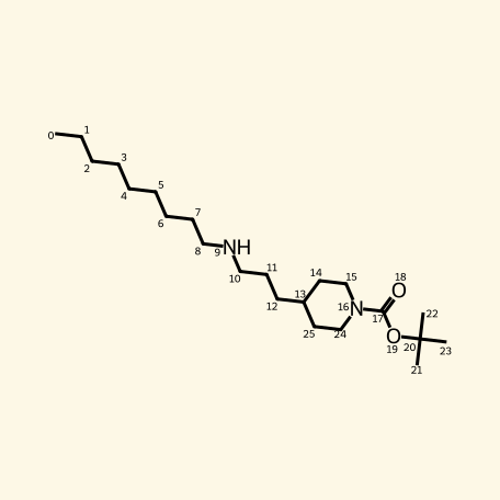 CCCCCCCCCNCCCC1CCN(C(=O)OC(C)(C)C)CC1